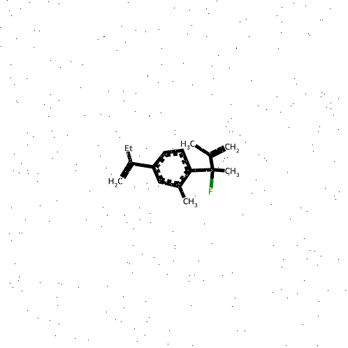 C=C(CC)c1ccc(C(C)(F)C(=C)C)c(C)c1